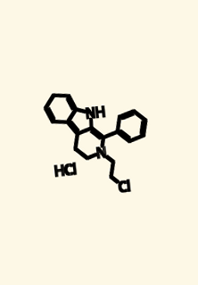 Cl.ClCCN1CCc2c3c([nH]c2=C1c1ccccc1)=CCC=C3